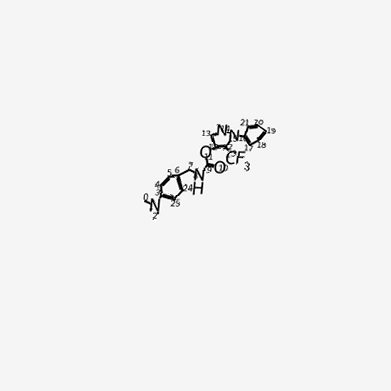 CN(C)c1ccc(CNC(=O)Oc2cnn(-c3ccccc3)c2C(F)(F)F)cc1